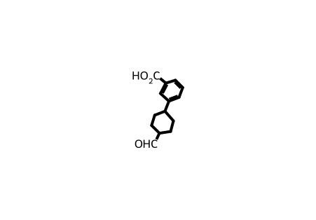 O=CC1CCC(c2cccc(C(=O)O)c2)CC1